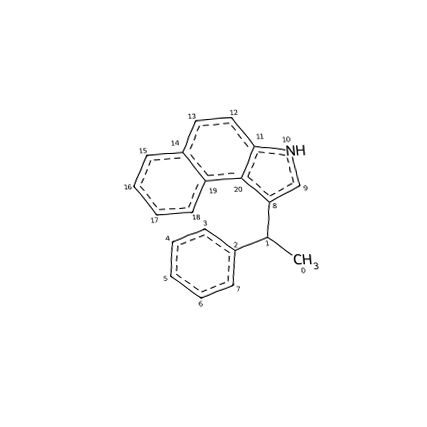 CC(c1ccccc1)c1c[nH]c2ccc3ccccc3c12